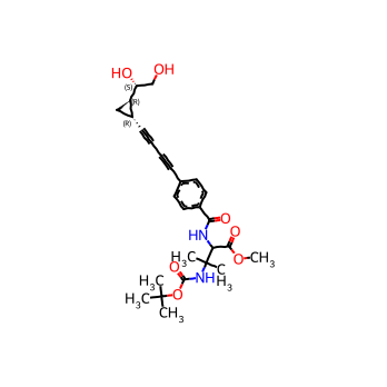 COC(=O)C(NC(=O)c1ccc(C#CC#C[C@@H]2C[C@H]2[C@H](O)CO)cc1)C(C)(C)NC(=O)OC(C)(C)C